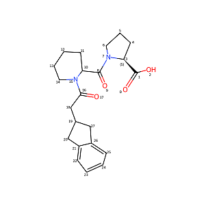 O=C(O)[C@@H]1CCCN1C(=O)C1CCCCN1C(=O)CC1Cc2ccccc2C1